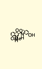 COc1cccc2c(=O)c(C(=O)Nc3cc(O)ccc3C)c[nH]c12